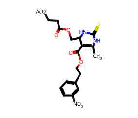 CC(=O)OCCC(=O)OCC1NC(=S)NC(C)=C1C(=O)OCCc1cccc([N+](=O)[O-])c1